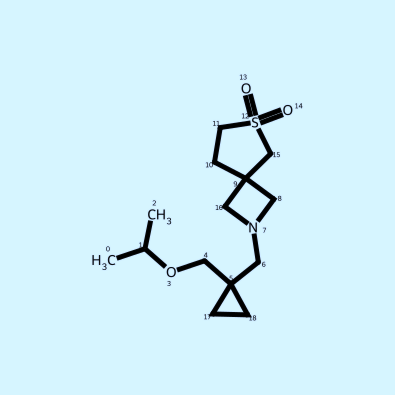 CC(C)OCC1(CN2CC3(CCS(=O)(=O)C3)C2)CC1